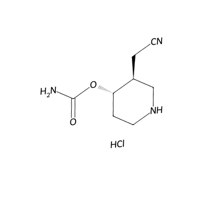 Cl.N#CC[C@H]1CNCC[C@@H]1OC(N)=O